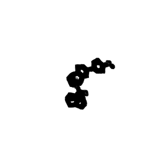 COc1ccc(-c2ccc3c(c2)C2[C@@H](C)C3CCN2C(=O)C23CC4CC(CC(C4)C2)C3)cc1